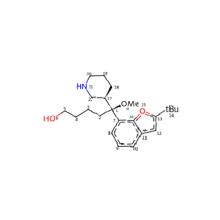 CO[C@](CCCCO)(c1cccc2cc(C(C)(C)C)oc12)[C@@H]1CCCNC1